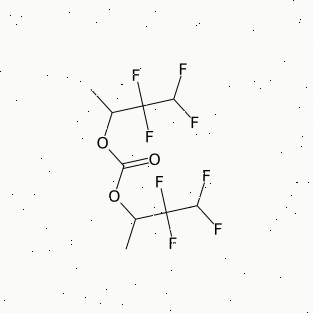 CC(OC(=O)OC(C)C(F)(F)C(F)F)C(F)(F)C(F)F